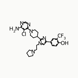 Nc1ncnc(N2CCC(c3nc(-c4ccc(O)c(C(F)(F)F)c4)cn3CCN3CCCC3)CC2)c1Cl